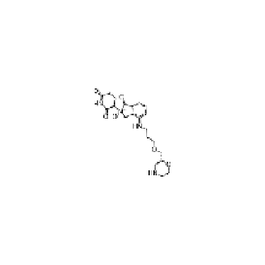 O=C1CCC([N+]2([O-])Cc3c(NCCCOC[C@H]4CNCCO4)cccc3C2=O)C(=O)N1